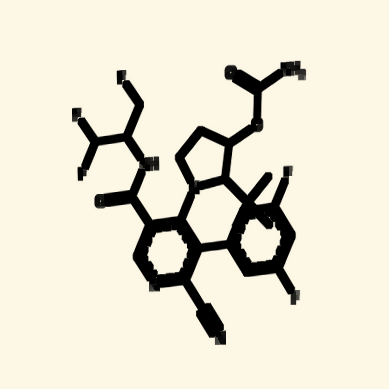 CC(C)(C)C1C(OC(N)=O)CCN1c1c(C(=O)NC(CF)C(F)F)cnc(C#N)c1-c1cc(F)cc(F)c1